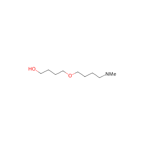 CNCCCCOCCCCO